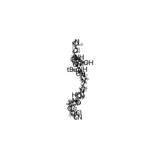 Cc1ncsc1-c1ccc([C@H](CO)NC(=O)[C@@H]2C[C@@H](O)CN2C(=O)C(NC(=O)CN2CCN(CCC3CCN(c4ccc(C(=O)NC5C(C)(C)C(Oc6ccc(C#N)c(Cl)c6)C5(C)C)cn4)C3)CC2)C(C)(C)C)cc1